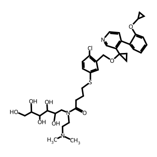 CN(C)CCN(CC(O)C(O)C(O)C(O)CO)C(=O)CCCSc1ccc(Cl)c(COC2(c3cnccc3-c3ccccc3OC3CC3)CC2)c1